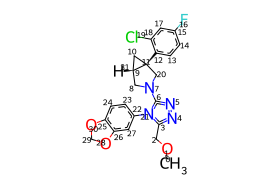 COCc1nnc(N2C[C@@H]3C[C@]3(c3ccc(F)cc3Cl)C2)n1-c1ccc2c(c1)OCO2